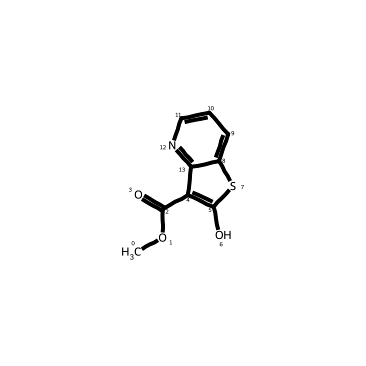 COC(=O)c1c(O)sc2cccnc12